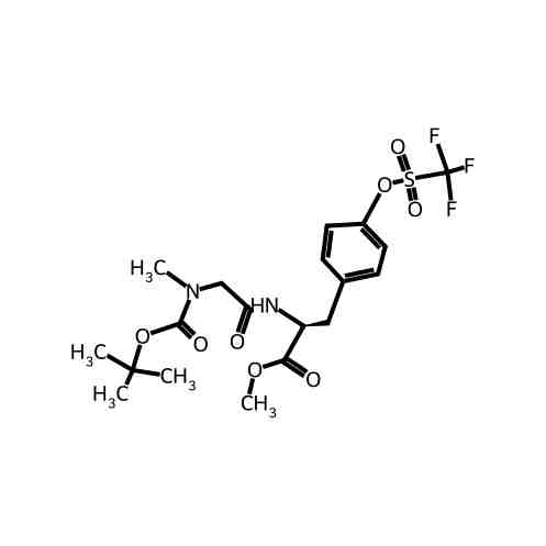 COC(=O)[C@H](Cc1ccc(OS(=O)(=O)C(F)(F)F)cc1)NC(=O)CN(C)C(=O)OC(C)(C)C